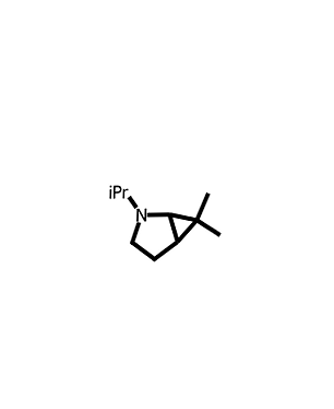 CC(C)N1CCC2C1C2(C)C